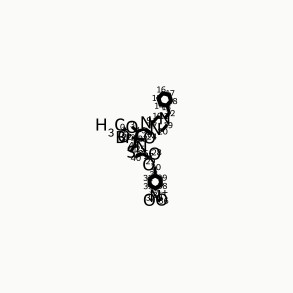 CC(=O)OC(c1cn2c(n1)CN(Cc1ccccc1)CC2)C1(Br)C(=O)N2C(C(=O)OCc3ccc([N+](=O)[O-])cc3)=CSC21